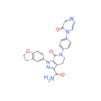 NC(=O)c1nn(-c2ccc3c(c2)CCO3)c2c1CCN(c1ccc(-n3ccncc3=O)cc1)C2=O